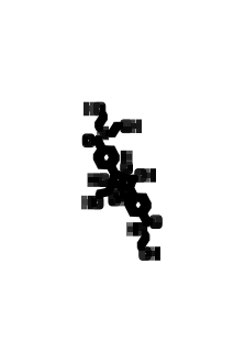 O=C(NCCO)c1ccc(C2C(O)[C@@]3(O)C(c4ccc(C(=O)N(CCO)CCO)cc4)[C@@](O)([C@H](O)CO)[C@@]23O)cc1